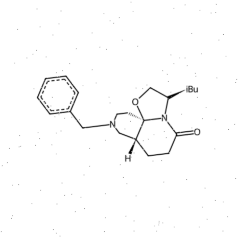 CC[C@H](C)C1CO[C@]23CCN(Cc4ccccc4)C[C@H]2CCC(=O)N13